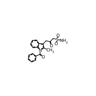 Cc1c(CC(=O)CS(N)(=O)=O)c2ccccc2n1C(=O)c1ccccc1